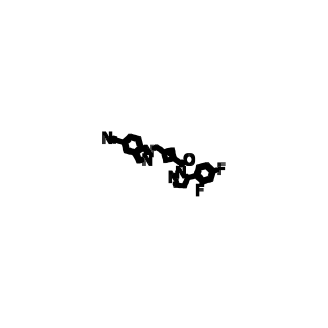 N#Cc1ccc2c(cnn2CC23CC(C(=O)N4N=CCC4c4ccc(F)cc4F)(C2)C3)c1